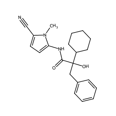 Cn1c(C#N)ccc1NC(=O)C(O)(Cc1ccccc1)C1CCCCC1